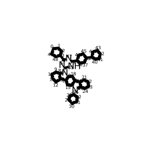 c1ccc(C2=NC(n3c4ccccc4c4cc5c(cc43)c3ccccc3n5-c3ccccc3)NC(c3ccc(-c4ccccc4)cc3)=N2)cc1